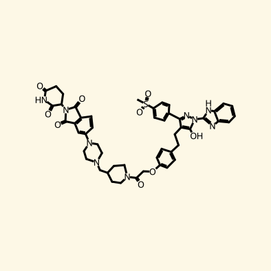 CS(=O)(=O)c1ccc(-c2nn(-c3nc4ccccc4[nH]3)c(O)c2CCc2ccc(OCC(=O)N3CCC(CN4CCN(c5ccc6c(c5)C(=O)N(C5CCC(=O)NC5=O)C6=O)CC4)CC3)cc2)cc1